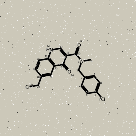 CN(Cc1ccc(Cl)cc1)C(=O)c1c[nH]c2ccc(CCl)cc2c1=O